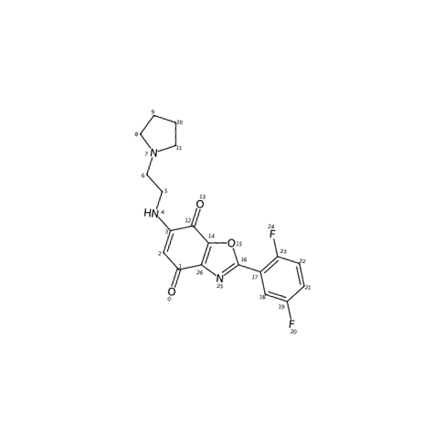 O=C1C=C(NCCN2CCCC2)C(=O)c2oc(-c3cc(F)ccc3F)nc21